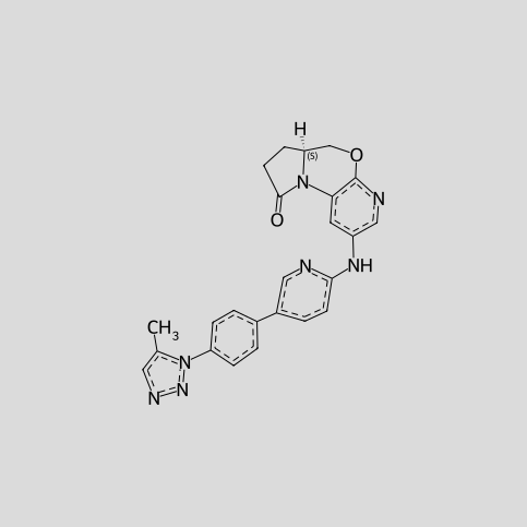 Cc1cnnn1-c1ccc(-c2ccc(Nc3cnc4c(c3)N3C(=O)CC[C@H]3CO4)nc2)cc1